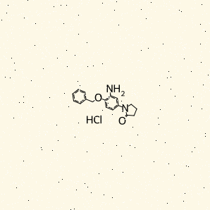 Cl.Nc1cc(N2CCCC2=O)ccc1OCc1ccccc1